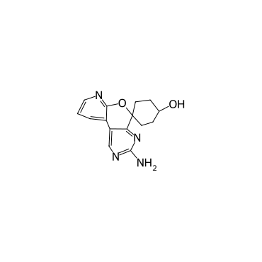 Nc1ncc2c(n1)C1(CCC(O)CC1)Oc1ncccc1-2